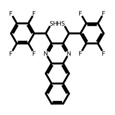 Fc1cc(F)c(F)c(C(S)c2nc3cc4ccccc4cc3nc2C(S)c2c(F)c(F)cc(F)c2F)c1F